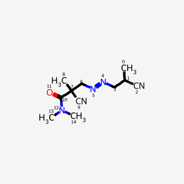 CC(C#N)CN=NCC(C)(C#N)C(=O)N(C)C